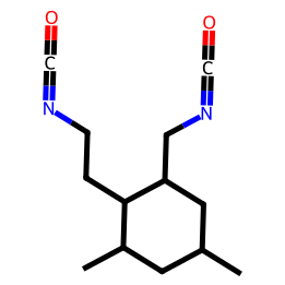 CC1CC(C)C(CCN=C=O)C(CN=C=O)C1